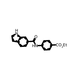 CCOC(=O)c1ccc(NC(=O)c2ccc3cc[nH]c3c2)cc1